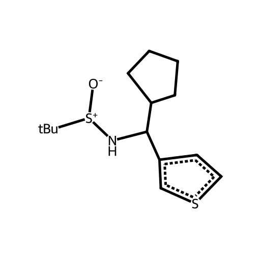 CC(C)(C)[S+]([O-])NC(c1ccsc1)C1CCCC1